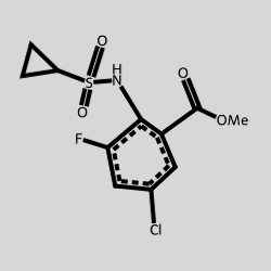 COC(=O)c1cc(Cl)cc(F)c1NS(=O)(=O)C1CC1